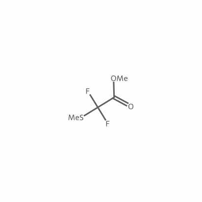 COC(=O)C(F)(F)SC